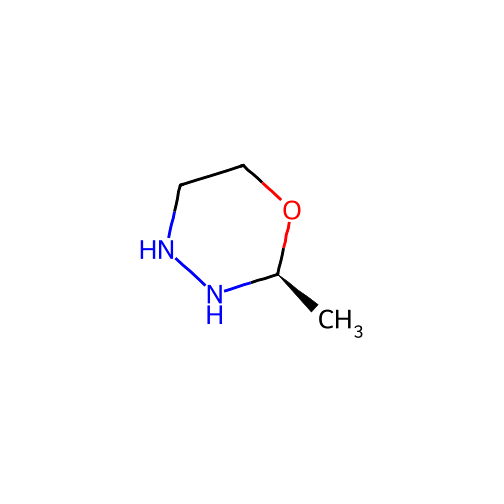 C[C@H]1NNCCO1